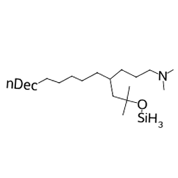 CCCCCCCCCCCCCCCC(CCCN(C)C)CC(C)(C)O[SiH3]